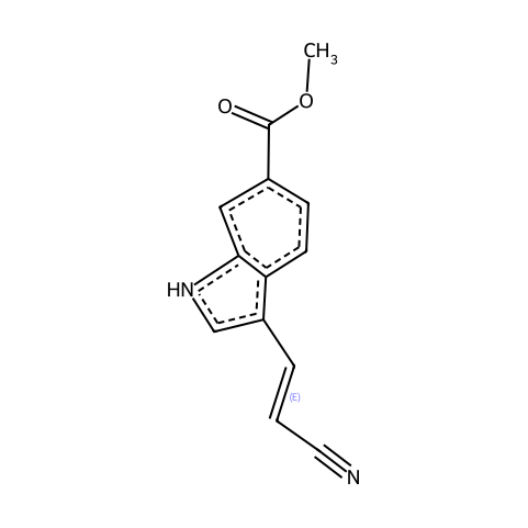 COC(=O)c1ccc2c(/C=C/C#N)c[nH]c2c1